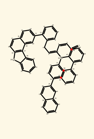 C=C/C=C\C(=C/Cc1ccccc1-c1ccc2ccc3oc4ccccc4c3c2c1)N(c1ccc(-c2ccc3ccccc3c2)cc1)c1ccccc1-c1ccccc1